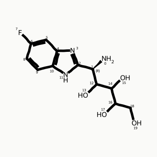 N[C@H](c1nc2cc(F)ccc2[nH]1)C(O)C(O)C(O)CO